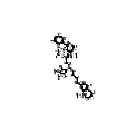 CC(=O)[C@H](CCN(CCCCc1ccc2c(n1)NCCC2)C1CC(F)(F)C1)Nc1ccnc(-c2ccccc2)[n+]1O